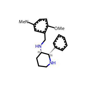 CNc1ccc(OC)c(CN[C@H]2CCCN[C@H]2c2ccccc2)c1